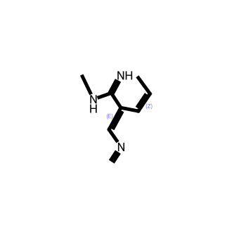 C=N/C=C(\C=C/C)C(=N)NC